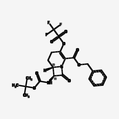 CC(C)(C)OC(=O)N[C@@H]1C(=O)N2C(C(=O)OCc3ccccc3)=C(OS(=O)(=O)C(F)(F)F)CC[C@@H]12